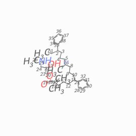 CCC(CC/C=C(\C)CCCC(CCCC(C)(C)C(=O)OCC(O)CNC)c1ccccc1)c1ccccc1